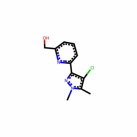 Cc1c(Cl)c(-c2cccc(CO)n2)nn1C